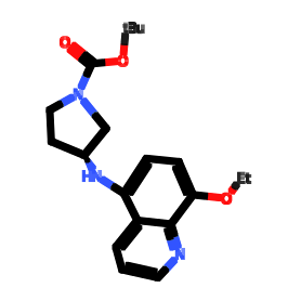 CCOc1ccc(N[C@H]2CCN(C(=O)OC(C)(C)C)C2)c2cccnc12